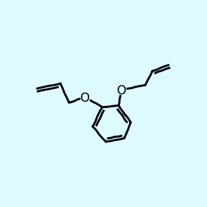 C=CCOc1ccccc1OCC=C